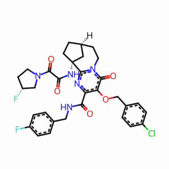 O=C(N[C@@]12CC[C@@H](CCn3c1nc(C(=O)NCc1ccc(F)cc1)c(OCc1ccc(Cl)cc1)c3=O)C2)C(=O)N1CC[C@@H](F)C1